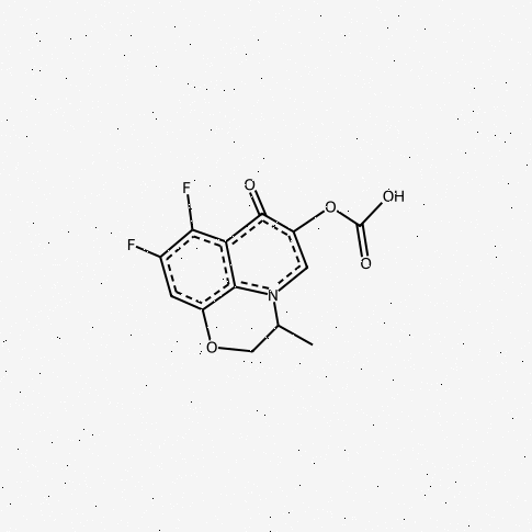 CC1COc2cc(F)c(F)c3c(=O)c(OC(=O)O)cn1c23